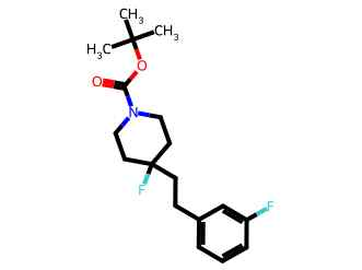 CC(C)(C)OC(=O)N1CCC(F)(CCc2cccc(F)c2)CC1